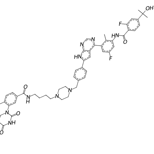 COc1ccc(C(=O)NCCCCN2CCN(Cc3ccc(-c4cc5c(-c6cc(F)cc(NC(=O)c7ccc(C(C)(C)O)cc7F)c6C)ncnc5[nH]4)cc3)CC2)cc1N1CCC(=O)NC1=O